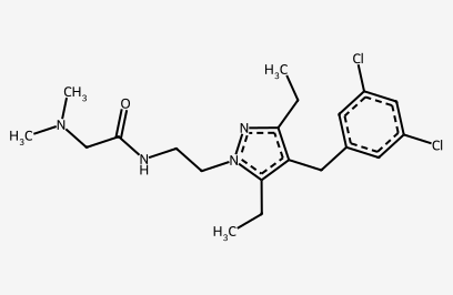 CCc1nn(CCNC(=O)CN(C)C)c(CC)c1Cc1cc(Cl)cc(Cl)c1